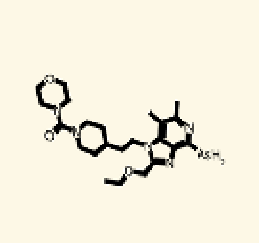 CCOCc1nc2c([AsH2])nc(C)c(C)c2n1CCC1CCN(C(=O)N2CCOCC2)CC1